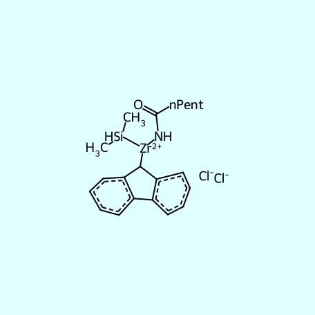 CCCCCC(=O)[NH][Zr+2]([CH]1c2ccccc2-c2ccccc21)[SiH](C)C.[Cl-].[Cl-]